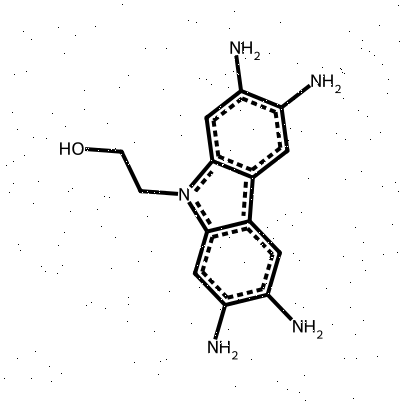 Nc1cc2c3cc(N)c(N)cc3n(CCO)c2cc1N